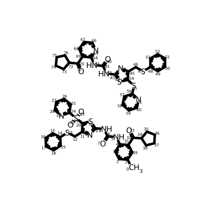 Cc1ccc(NC(=O)Nc2nc(CSc3ccccc3)c(S(=O)(=O)c3ccccn3)s2)c(C(=O)C2CCCC2)c1.O=C(Nc1nc(CSc2ccccc2)c(Sc2ccccn2)s1)Nc1ncccc1C(=O)C1CCCC1